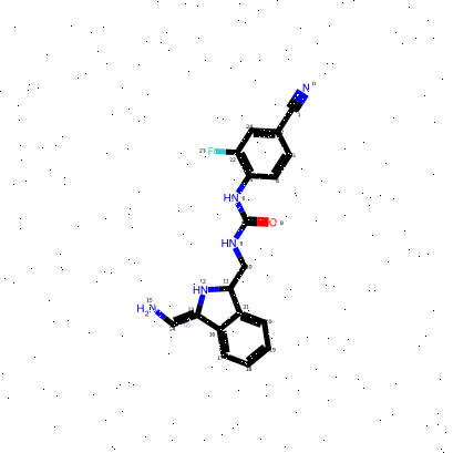 N#Cc1ccc(NC(=O)NCC2N/C(=C\N)c3ccccc32)c(F)c1